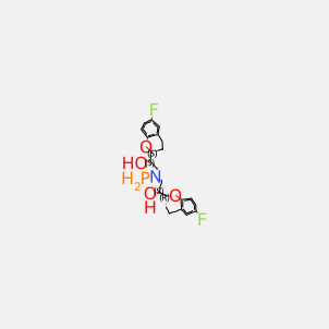 O[C@@H](CN(P)C[C@H](O)[C@H]1CCc2cc(F)ccc2O1)[C@@H]1CCc2cc(F)ccc2O1